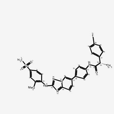 COc1cc(S(C)(=O)=O)ccc1Nc1nc2ccc(-c3ccc(NC(=O)[C@@H](C)c4ccc(F)cc4)cc3)cn2n1